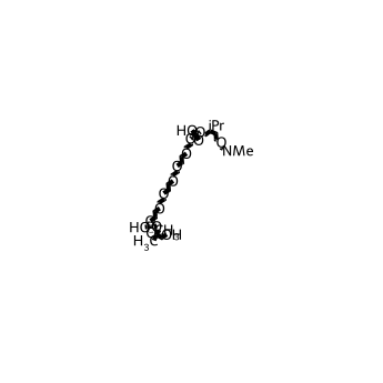 CNCOCCC(COP(=O)(O)OCCOCCOCCOCCOCCOCCOP(=O)(O)OC(C)(C)CO)C(C)C